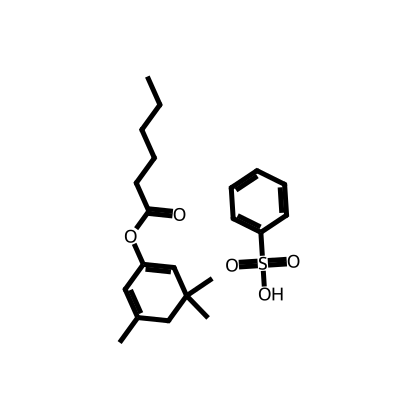 CCCCCC(=O)OC1=CC(C)(C)CC(C)=C1.O=S(=O)(O)c1ccccc1